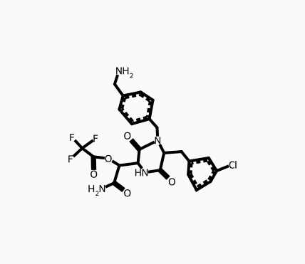 NCc1ccc(CN2C(=O)C(C(OC(=O)C(F)(F)F)C(N)=O)NC(=O)C2Cc2cccc(Cl)c2)cc1